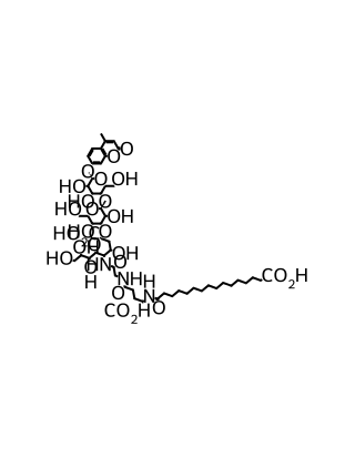 Cc1cc(=O)oc2cc(O[C@@H]3OC(CO)[C@@H](O[C@@H]4OC(CO)[C@H](O)[C@H](O[C@]5(C(=O)O)C[C@@H](O)[C@@H](NC(=O)CNC(=O)CC[C@H](NC(=O)CCCCCCCCCCCCCCC(=O)O)C(=O)O)C(C(O)[C@H](O)CO)O5)C4O)[C@H](O)C3O)ccc12